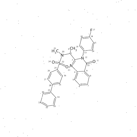 CC(c1nc2ccccc2c(=O)n1-c1ccc(F)cc1)N(C)S(=O)(=O)c1ccc(-c2ccccc2)cc1